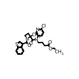 CCOC(=O)CCCN(C(=O)C1(C)CCN1C(=O)c1csc2ccccc12)c1ccc(Cl)nc1